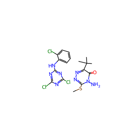 CSc1nnc(C(C)(C)C)c(=O)n1N.Clc1nc(Cl)nc(Nc2ccccc2Cl)n1